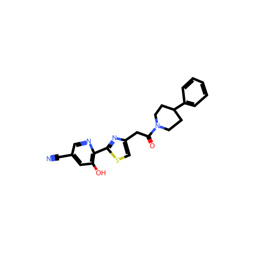 N#Cc1cnc(-c2nc(CC(=O)N3CCC(c4ccccc4)CC3)cs2)c(O)c1